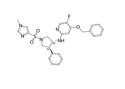 Cn1cnc(S(=O)(=O)N2C[C@H](Nc3cc(OCc4ccccc4)c(F)cn3)[C@@H](c3ccccc3)C2)c1